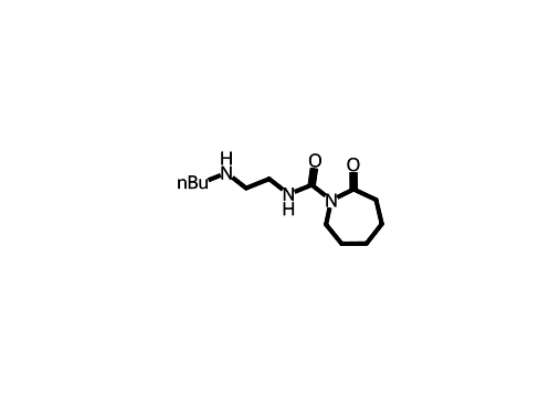 CCCCNCCNC(=O)N1CCCCCC1=O